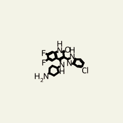 NC1CCC(Nc2c(-c3nc4cc(Cl)ccc4[nH]3)c(=O)[nH]c3cc(F)c(F)cc23)CC1